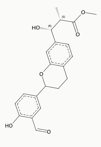 COC(=O)[C@@H](C)[C@@H](O)c1ccc2c(c1)OC(c1ccc(O)c(C=O)c1)CC2